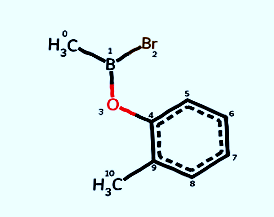 CB(Br)Oc1ccccc1C